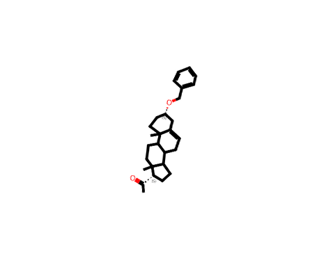 CC(=O)[C@H]1CCC2C3CC=C4C[C@@H](OCc5ccccc5)CCC4(C)C3CCC21C